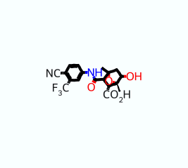 CC12CC(O)[C@@](C)(O1)C(C(=O)O)C2C(=O)Nc1ccc(C#N)c(C(F)(F)F)c1